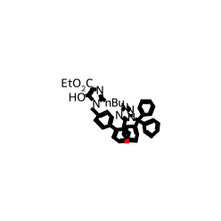 CCCCc1nc(C(=O)OCC)c(O)n1Cc1ccc(-c2ccccc2-c2nnnn2C(c2ccccc2)(c2ccccc2)c2ccccc2)cc1